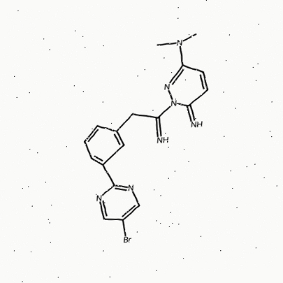 CN(C)c1ccc(=N)n(C(=N)Cc2cccc(-c3ncc(Br)cn3)c2)n1